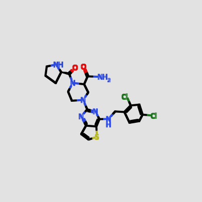 NC(=O)C1CN(c2nc(NCc3ccc(Cl)cc3Cl)c3sccc3n2)CCN1C(=O)[C@H]1CCCN1